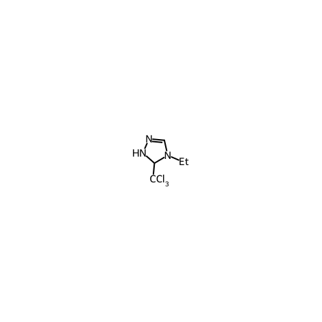 CCN1C=NNC1C(Cl)(Cl)Cl